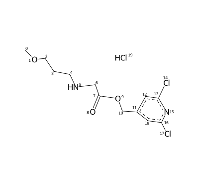 COCCCNCC(=O)OCc1cc(Cl)nc(Cl)c1.Cl